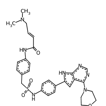 CN(C)C/C=C/C(=O)Nc1ccc(CS(=O)(=O)Nc2ccc(-c3cc4c(N5CCOCC5)ncnc4[nH]3)cc2)cc1